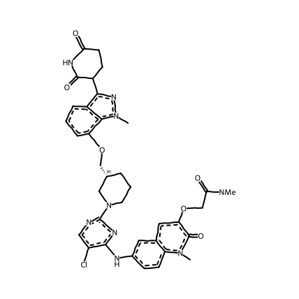 CNC(=O)COc1cc2cc(Nc3nc(N4CCC[C@@H](COc5cccc6c(C7CCC(=O)NC7=O)nn(C)c56)C4)ncc3Cl)ccc2n(C)c1=O